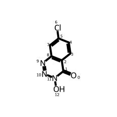 O=c1c2ccc(Cl)cc2nnn1O